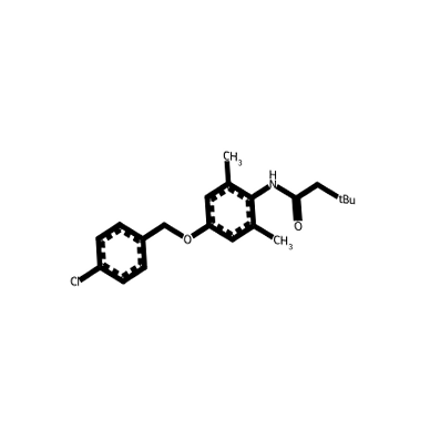 Cc1cc(OCc2ccc(Cl)cc2)cc(C)c1NC(=O)CC(C)(C)C